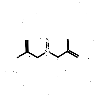 C=C(C)[CH2][Sn](=[S])[CH2]C(=C)C